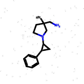 CCCC1(CN)CCN(C2CC2c2ccccc2)C1